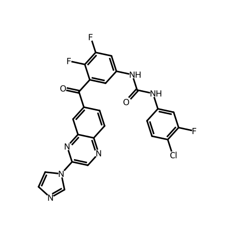 O=C(Nc1ccc(Cl)c(F)c1)Nc1cc(F)c(F)c(C(=O)c2ccc3ncc(-n4ccnc4)nc3c2)c1